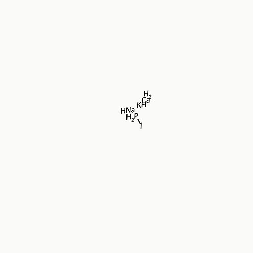 PI.[CaH2].[KH].[NaH]